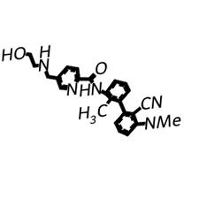 CNc1cccc(-c2cccc(NC(=O)c3ccc(CNCCO)cn3)c2C)c1C#N